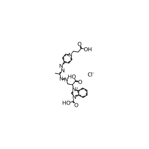 CC(N=NCC(C(=O)O)[n+]1cn(C(=O)O)c2ccccc21)=NN=c1ccn(CCC(=O)O)cc1.[Cl-]